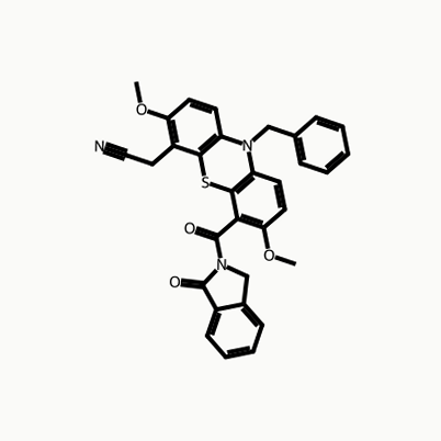 COc1ccc2c(c1CC#N)Sc1c(ccc(OC)c1C(=O)N1Cc3ccccc3C1=O)N2Cc1ccccc1